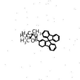 CC1(C)OB(C2=CC3=C(CC2)c2ccccc2C32c3ccccc3-c3ccccc32)OC1(C)C